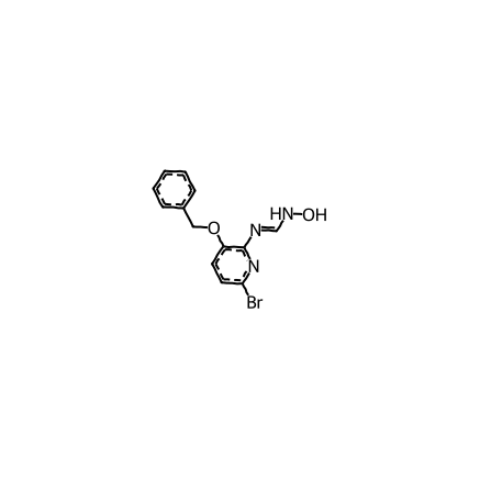 ON/C=N/c1nc(Br)ccc1OCc1ccccc1